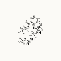 C=C(O[Si](C)(C)C(C)(C)C)c1cccc2nc(C)c(NC(C)(C)CNC(=O)OC(C)(C)C)nc12